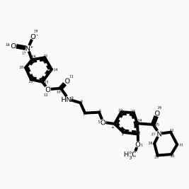 COc1cc(OCCCNC(=O)Oc2ccc([N+](=O)[O-])cc2)ccc1C(=O)N1CC[CH]CC1